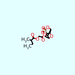 CCC(C)C(=O)OCC(=O)OC1C2CC3C(O2)C1OS3(=O)=O